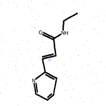 CCNC(=O)/C=C/c1ccccn1